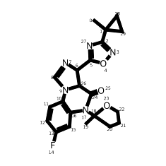 CC1(c2noc(C3N=CN4c5ccc(F)cc5N(C5(C)CCCO5)C(=O)C34)n2)CC1